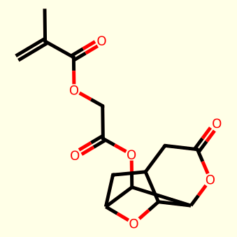 C=C(C)C(=O)OCC(=O)OC1C2CC3CC(=O)OC1C3O2